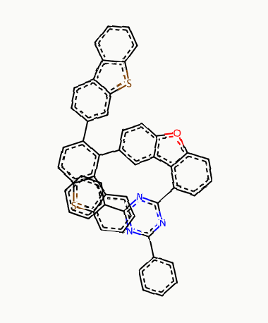 c1ccc(-c2nc(-c3ccccc3)nc(-c3cccc4oc5ccc(-c6c(-c7ccc8c(c7)sc7ccccc78)ccc7sc8ccccc8c67)cc5c34)n2)cc1